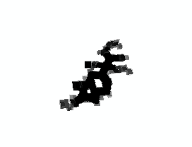 COC(=O)C(C)(C)c1ccc2cc(N)[nH]c2c1